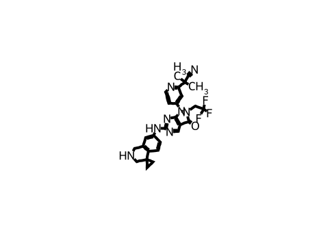 CC(C)(C#N)c1cc(-n2c3nc(Nc4ccc5c(c4)CNCC54CC4)ncc3c(=O)n2CC(F)(F)F)ccn1